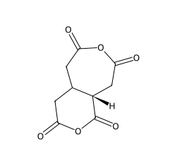 O=C1CC2CC(=O)OC(=O)[C@H]2CC(=O)O1